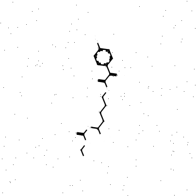 CC(C)(C)COC(=O)NC(CCCCNC(=O)C(=O)c1ccc([N+](=O)[O-])cc1)C(=O)O